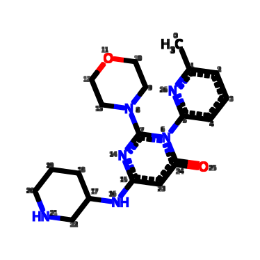 Cc1cccc(-n2c(N3CCOCC3)nc(NC3CCCNC3)cc2=O)n1